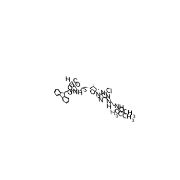 COC(=O)[C@H](CCSC[C@@H]1[CH][CH][C@H](n2cnc3c(NCCNC(=O)OC(C)(C)C)nc(Cl)nc32)O1)NC(=O)OCC1c2ccccc2-c2ccccc21